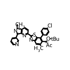 CC(=O)[C@@H](OC(C)(C)C)c1c(C)cc2nc(-c3ccc4c(n3)c(-c3cccnc3)nn4C)sc2c1-c1ccc(Cl)cc1